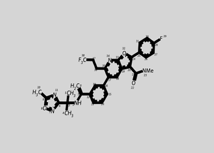 C=C(NC(C)(C)c1noc(C)n1)c1cccc(-c2cc3c(C(=O)NC)c(-c4ccc(F)cc4)oc3nc2CCC(F)(F)F)c1